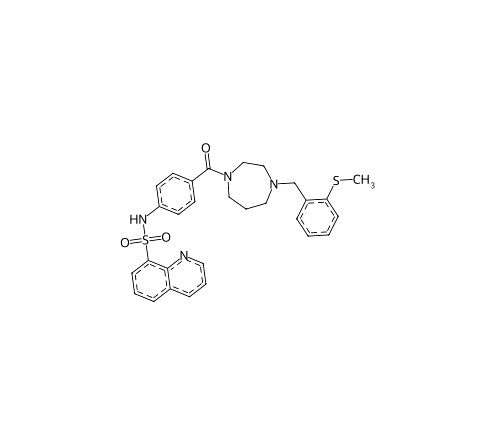 CSc1ccccc1CN1CCCN(C(=O)c2ccc(NS(=O)(=O)c3cccc4cccnc34)cc2)CC1